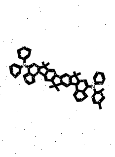 Cc1ccc(N(c2ccccc2)c2cc3c(c4ccccc24)-c2cc4c(cc2C3(C)C)-c2cc3c(cc2C4(C)C)-c2c(cc(N(c4ccccc4)c4ccccc4)c4ccccc24)C3(C)C)c(C)c1